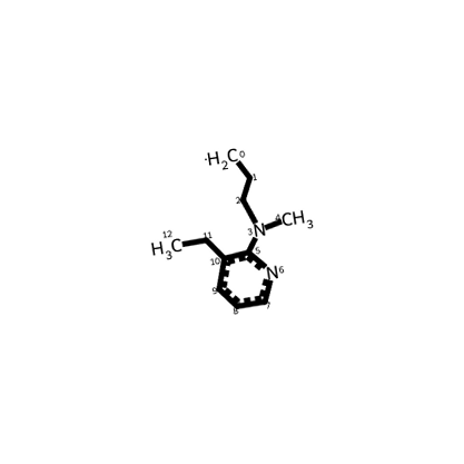 [CH2]CCN(C)c1ncccc1CC